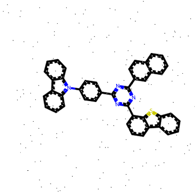 c1ccc2cc(-c3nc(-c4ccc(-n5c6ccccc6c6ccccc65)cc4)nc(-c4cccc5c4sc4ccccc45)n3)ccc2c1